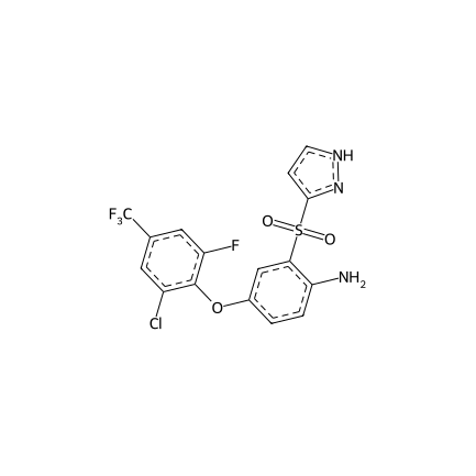 Nc1ccc(Oc2c(F)cc(C(F)(F)F)cc2Cl)cc1S(=O)(=O)c1cc[nH]n1